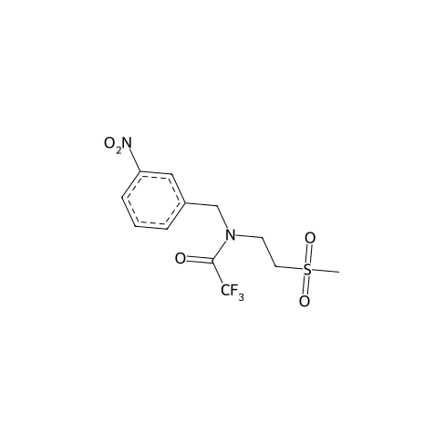 CS(=O)(=O)CCN(Cc1cccc([N+](=O)[O-])c1)C(=O)C(F)(F)F